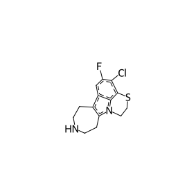 Fc1cc2c3c(n4c2c(c1Cl)SCC4)CCNCC3